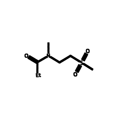 CCC(=O)N(C)CCS(C)(=O)=O